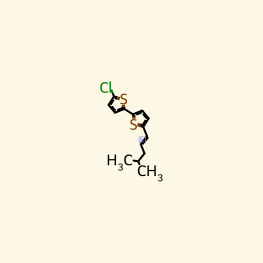 CC(C)C/C=C/c1ccc(-c2ccc(Cl)s2)s1